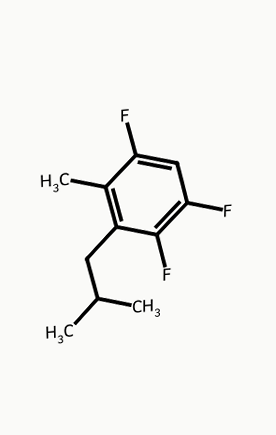 Cc1c(F)cc(F)c(F)c1CC(C)C